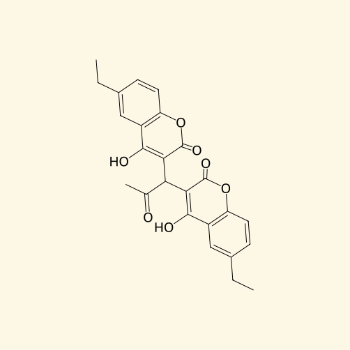 CCc1ccc2oc(=O)c(C(C(C)=O)c3c(O)c4cc(CC)ccc4oc3=O)c(O)c2c1